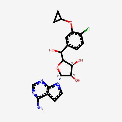 Nc1ncnc2c1ccn2[C@@H]1OC(C(O)c2ccc(Cl)c(OC3CC3)c2)[C@@H](O)[C@H]1O